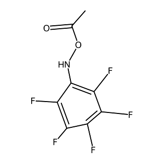 CC(=O)ONc1c(F)c(F)c(F)c(F)c1F